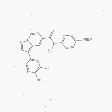 CN(C(=O)c1ccn2ncc(-c3cnc(N)c(Cl)c3)c2c1)c1ccc(C#N)cn1